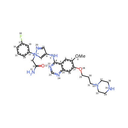 COc1cc2c(NC3=C[N+](CC(N)=O)(c4cccc(F)c4)N=C3)ncnc2cc1OCCCN1CCNCC1